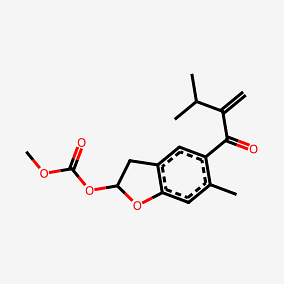 C=C(C(=O)c1cc2c(cc1C)OC(OC(=O)OC)C2)C(C)C